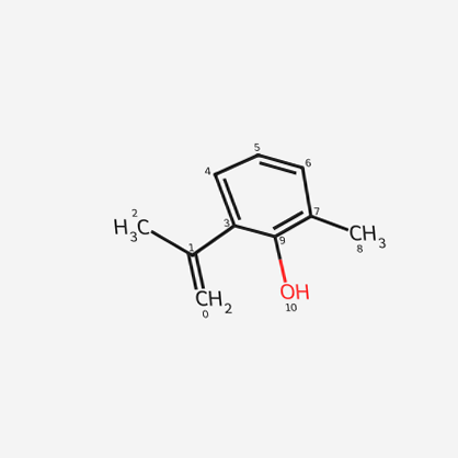 C=C(C)c1cccc(C)c1O